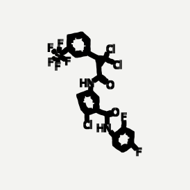 O=C(Nc1ccc(F)cc1F)c1cc(NC(=O)C2C(c3cccc(S(F)(F)(F)(F)F)c3)C2(Cl)Cl)ccc1Cl